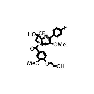 COc1cc(C(=O)NCC(O)(c2ccc(OC)c(-c3ccc(F)cc3)n2)C(F)(F)F)ccc1OCCO